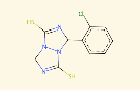 SC1=NC(c2ccccc2Cl)N2C(S)=NCN12